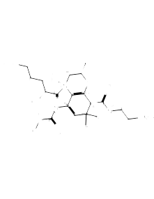 CCC[C@@H](CCCC(=O)O)C(=O)[N@+]1(O)C[C@@H](C)SC2=C1C(NC(=O)OC(C)(C)C)=CC(C)(C)[C@@H]2C(=O)NCCOC